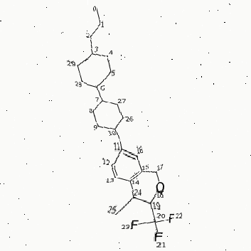 CCCC1CCC(C2CCC(c3ccc4c(c3)COC(C(F)(F)F)C4C)CC2)CC1